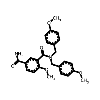 COc1ccc(CN(Cc2ccc(OC)cc2)C(=O)c2cc(C(N)=O)ccc2OC)cc1